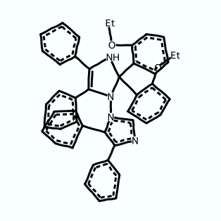 CCOc1ccccc1C1(c2ccccc2OCC)NC(c2ccccc2)=C(c2ccccc2)N1n1cnc(-c2ccccc2)c1-c1ccccc1